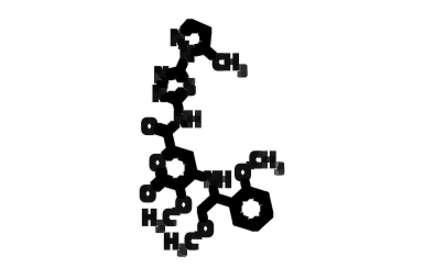 COCC(Nc1cc(C(=O)Nc2nnc(-n3nccc3C)s2)oc(=O)c1OC)c1ccccc1OC